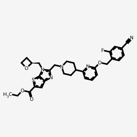 CCOC(=O)c1cc2nc(CN3CCC(c4cccc(OCc5ccc(C#N)cc5F)n4)CC3)n(C[C@@H]3CCO3)c2s1